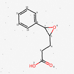 O=C(O)CCC1OC1c1ccccc1